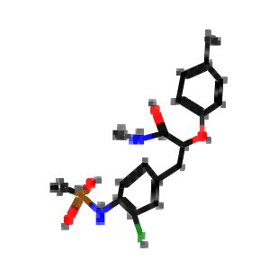 CC(C)(C)c1ccc(OC(Cc2ccc(NS(C)(=O)=O)c(F)c2)C(=O)NC#N)cc1